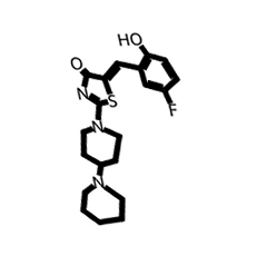 O=C1N=C(N2CCC(N3CCCCC3)CC2)S/C1=C\c1cc(F)ccc1O